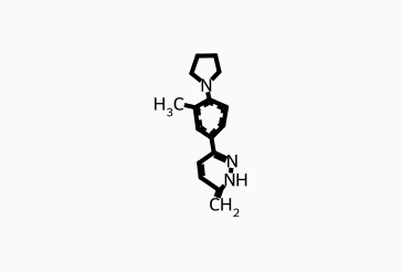 C=C1C=CC(c2ccc(N3CCCC3)c(C)c2)=NN1